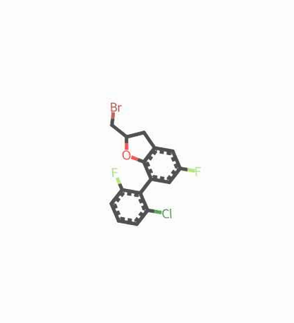 Fc1cc2c(c(-c3c(F)cccc3Cl)c1)OC(CBr)C2